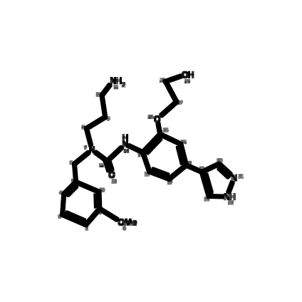 COc1cccc(CN(CCCN)C(=O)Nc2ccc(-c3cn[nH]c3)cc2OCCO)c1